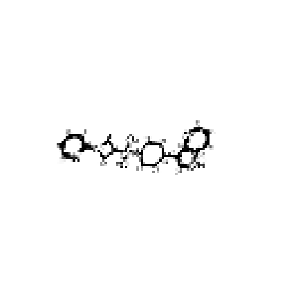 O=S(=O)(C1CN(c2ccccn2)C1)N1CCC(c2c[nH]c3cccnc23)CC1